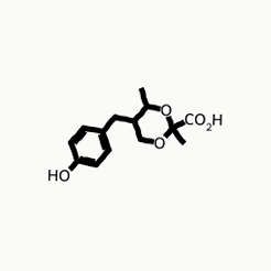 CC1OC(C)(C(=O)O)OCC1Cc1ccc(O)cc1